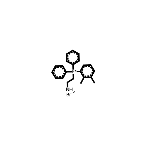 Cc1cccc([P+](CCN)(c2ccccc2)c2ccccc2)c1C.[Br-]